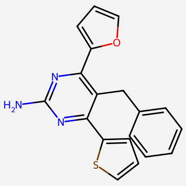 Nc1nc(-c2ccco2)c(Cc2ccccc2)c(-c2cccs2)n1